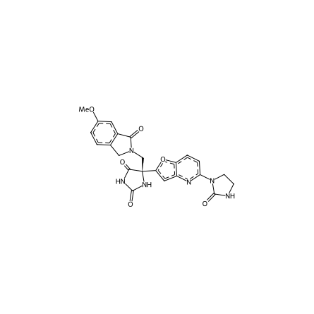 COc1ccc2c(c1)C(=O)N(C[C@@]1(c3cc4nc(N5CCNC5=O)ccc4o3)NC(=O)NC1=O)C2